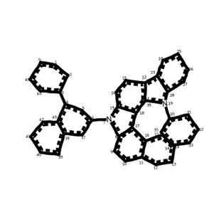 c1ccc(-c2cc(-n3c4ccc5ccccc5c4c4c3ccc3c5ccccc5n(-c5ccccc5)c34)cc3ccccc23)cc1